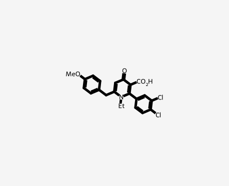 CCn1c(Cc2ccc(OC)cc2)cc(=O)c(C(=O)O)c1-c1ccc(Cl)c(Cl)c1